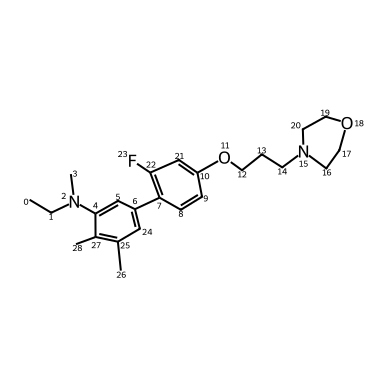 CCN(C)c1cc(-c2ccc(OCCCN3CCOCC3)cc2F)cc(C)c1C